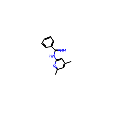 Cc1cc(C)nc(NC(=N)c2ccccc2)c1